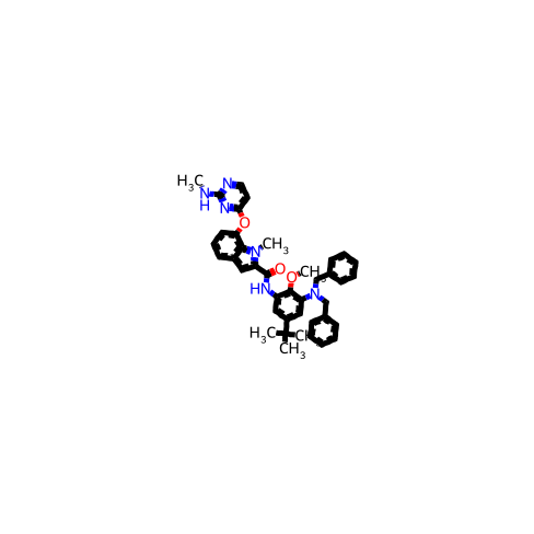 CNc1nccc(Oc2cccc3cc(C(=O)Nc4cc(C(C)(C)C)cc(N(Cc5ccccc5)Cc5ccccc5)c4OC)n(C)c23)n1